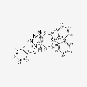 c1ccc(CN2N=N[C@@H]3CC[Si](c4ccccc4)(c4ccccc4)CC[C@H]32)cc1